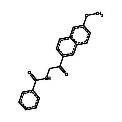 COc1ccc2cc(C(=O)CNC(=O)c3ccccc3)ccc2c1